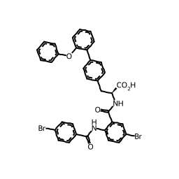 O=C(Nc1ccc(Br)cc1C(=O)N[C@@H](Cc1ccc(-c2ccccc2Oc2ccccc2)cc1)C(=O)O)c1ccc(Br)cc1